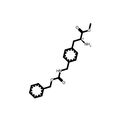 COC(=O)[C@@H](N)Cc1ccc(CNC(=O)OCc2ccccc2)cc1